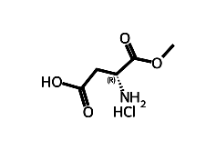 COC(=O)[C@H](N)CC(=O)O.Cl